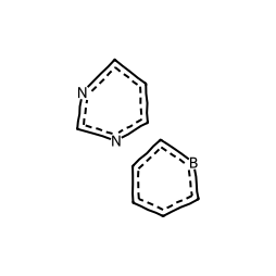 b1ccccc1.c1cncnc1